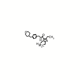 C=Cc1nc(CC)c(C(=O)NCc2ccc(CC3CCOCC3)cc2)n1C=C